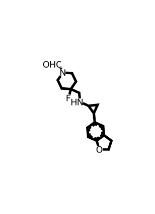 O=CN1CCC(F)(CNC2CC2c2ccc3c(c2)CCO3)CC1